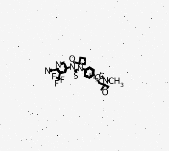 CN(C)C1(COc2ccc(N3C(=S)N(c4cnc(C#N)c(C(F)(F)F)c4)C(=O)C34CCC4)cc2)COC1